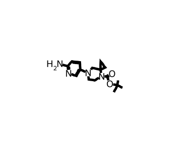 CC(C)(C)OC(=O)N1CCN(c2ccc(N)nc2)CC12CC2